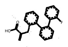 C=C(Cc1ccccc1-c1ccccc1-c1ccccc1F)C(=O)O